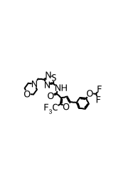 O=C(Nc1nc(CN2CCOCC2)ns1)c1cc(-c2cccc(OC(F)F)c2)oc1C(F)(F)F